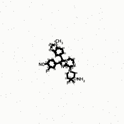 Cn1nnc2cc(-c3c(-c4ccc(C#N)c(F)c4)nc4c(N5CCC(F)(F)[C@@H](N)C5)nccn34)ccc21